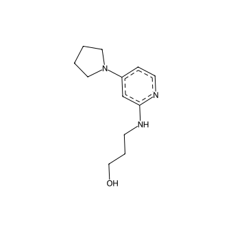 OCCCNc1cc(N2CCCC2)ccn1